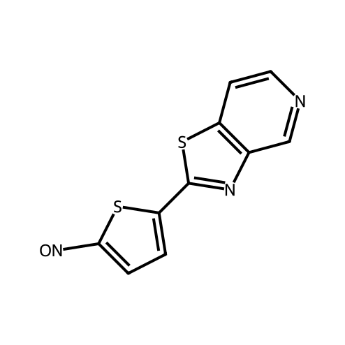 O=Nc1ccc(-c2nc3cnccc3s2)s1